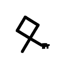 CC(C)C1(C)CCC1